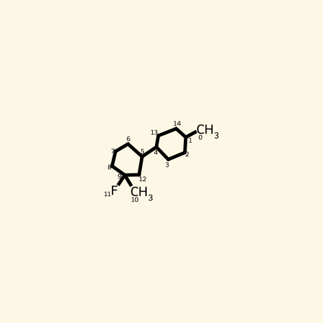 CC1CCC(C2CCCC(C)(F)C2)CC1